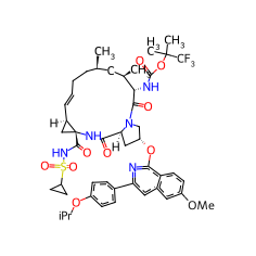 COc1ccc2c(O[C@@H]3C[C@H]4C(=O)N[C@]5(C(=O)NS(=O)(=O)C6CC6)C[C@H]5/C=C/CC[C@@H](C)C[C@@H](C)[C@H](NC(=O)OC(C)(C)C(F)(F)F)C(=O)N4C3)nc(-c3ccc(OC(C)C)cc3)cc2c1